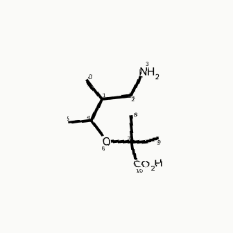 CC(CN)C(C)OC(C)(C)C(=O)O